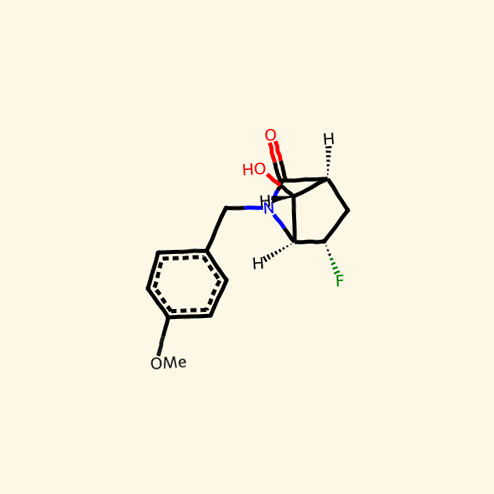 COc1ccc(CN2C(=O)[C@H]3C[C@H](F)[C@@H]2[C@@H]3O)cc1